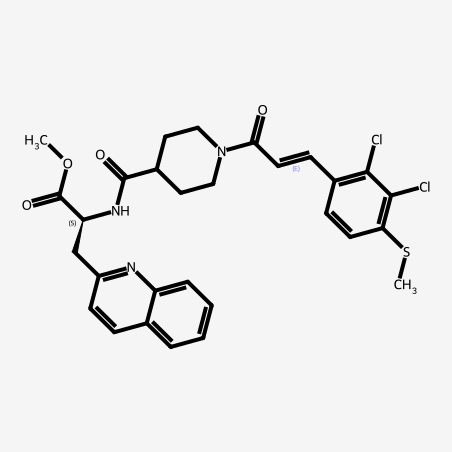 COC(=O)[C@H](Cc1ccc2ccccc2n1)NC(=O)C1CCN(C(=O)/C=C/c2ccc(SC)c(Cl)c2Cl)CC1